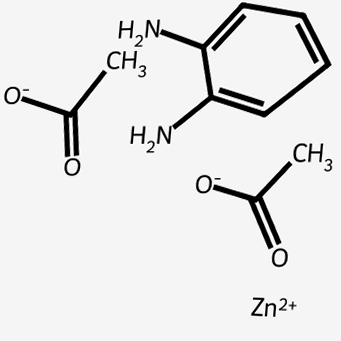 CC(=O)[O-].CC(=O)[O-].Nc1ccccc1N.[Zn+2]